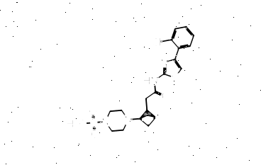 CS(=O)(=O)N1CCN(C23CC(C2)C3CC(=O)Nc2nc(-c3ccccc3Cl)cs2)CC1